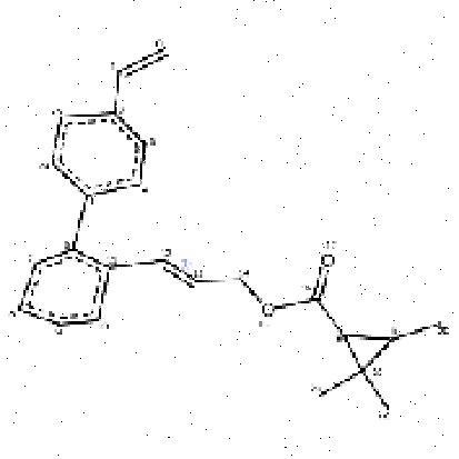 C=Cc1ccc(-c2ccccc2/C=C/COC(=O)C2C(C)C2(C)C)cc1